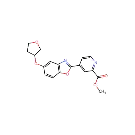 COC(=O)c1cc(-c2nc3cc(OC4CCOC4)ccc3o2)ccn1